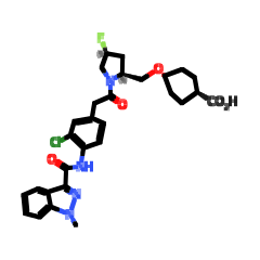 Cn1nc(C(=O)Nc2ccc(CC(=O)N3C[C@@H](F)C[C@H]3CO[C@H]3CC[C@H](C(=O)O)CC3)cc2Cl)c2ccccc21